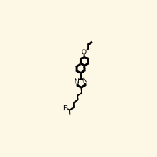 C=CCOc1ccc2cc(-c3ncc(CCCCCC(C)F)cn3)ccc2c1